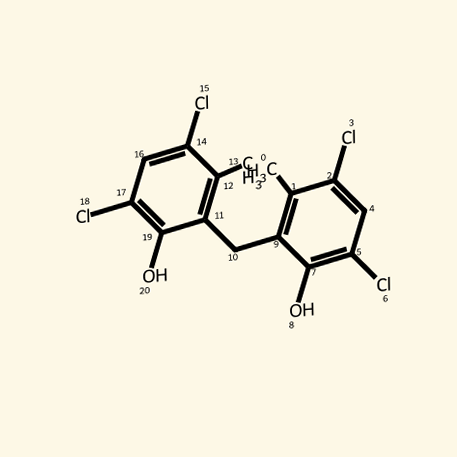 Cc1c(Cl)cc(Cl)c(O)c1Cc1c(C)c(Cl)cc(Cl)c1O